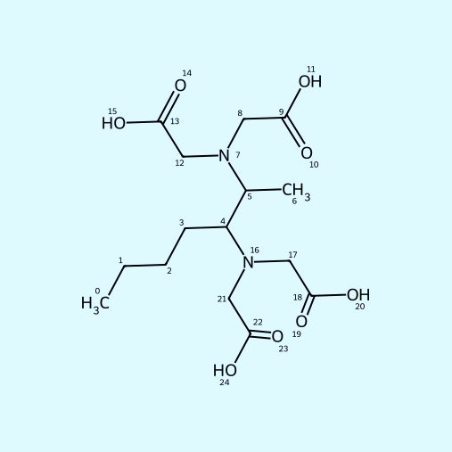 CCCCC(C(C)N(CC(=O)O)CC(=O)O)N(CC(=O)O)CC(=O)O